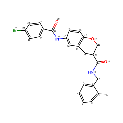 Cc1ccccc1CNC(=O)C1COc2ccc(NC(=O)c3ccc(Br)cc3)cc2C1